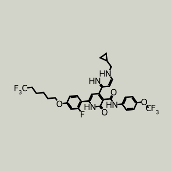 N=C(/C=C\NCC1CC1)c1cc(-c2ccc(OCCCCCC(F)(F)F)cc2F)[nH]c(=O)c1C(=O)Nc1ccc(OC(F)(F)F)cc1